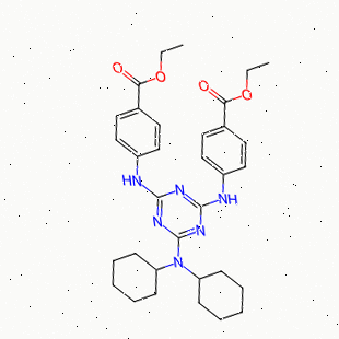 CCOC(=O)c1ccc(Nc2nc(Nc3ccc(C(=O)OCC)cc3)nc(N(C3CCCCC3)C3CCCCC3)n2)cc1